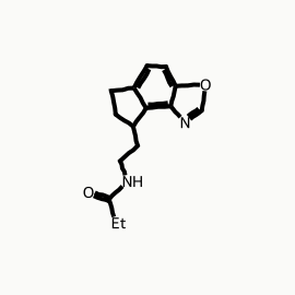 CCC(=O)NCCC1CCc2ccc3ocnc3c21